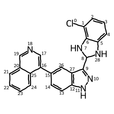 Clc1cccc2c1NC(c1n[nH]c3ccc(-c4cncc5ccccc45)cc13)N2